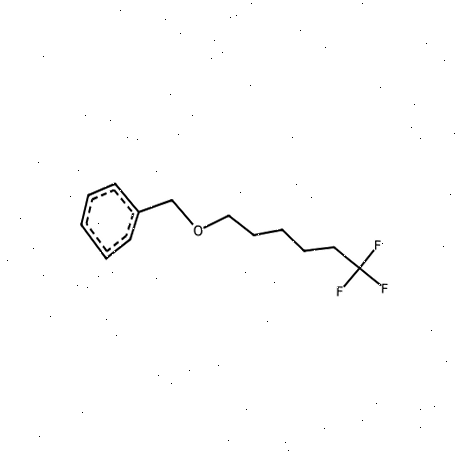 FC(F)(F)CCCCCOCc1ccccc1